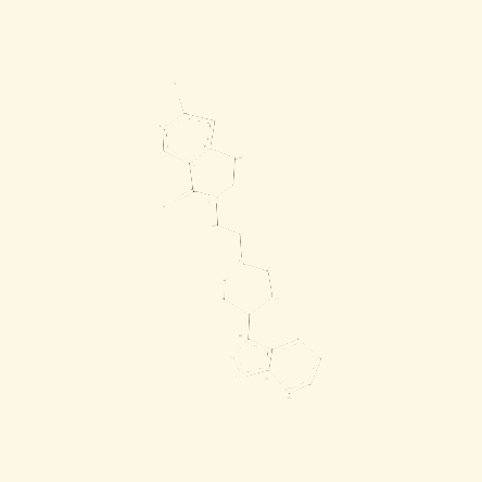 Cc1cc2c(cn1)C(=O)N(CCN1CCC(c3noc4ccccc34)CC1)CC2